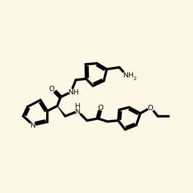 CCOc1ccc(CC(=O)CNC[C@H](C(=O)NCc2ccc(CN)cc2)c2cccnc2)cc1